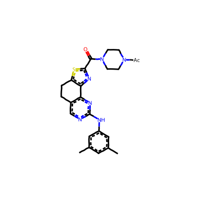 CC(=O)N1CCN(C(=O)c2nc3c(s2)CCc2cnc(Nc4cc(C)cc(C)c4)nc2-3)CC1